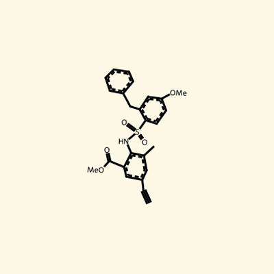 C#Cc1cc(C)c(NS(=O)(=O)c2ccc(OC)cc2Cc2ccccc2)c(C(=O)OC)c1